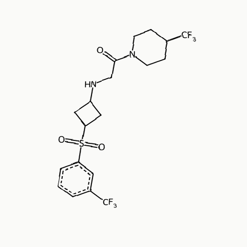 O=C(CNC1CC(S(=O)(=O)c2cccc(C(F)(F)F)c2)C1)N1CCC(C(F)(F)F)CC1